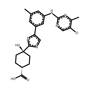 Cc1cc(Nc2ncc(Cl)c(C)n2)cc(-c2cnc([C@]3(O)CC[C@H](C(=O)O)CC3)s2)c1